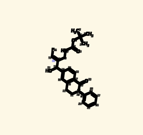 CC(C)(C)OC(=O)NC/C(=C\F)C(O)c1ccc2c(c1)CCN(c1ncccn1)C2=O